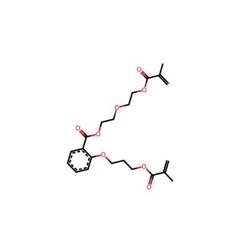 C=C(C)C(=O)OCCCOc1ccccc1C(=O)OCCOCCOC(=O)C(=C)C